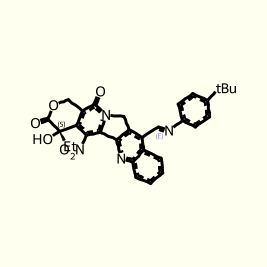 CC[C@@]1(O)C(=O)OCc2c1c([N+](=O)[O-])c1n(c2=O)Cc2c-1nc1ccccc1c2/C=N/c1ccc(C(C)(C)C)cc1